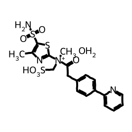 Cc1nc([N+](C)(CS(=O)(=O)O)C(=O)Cc2ccc(-c3ccccn3)cc2)sc1S(N)(=O)=O.O